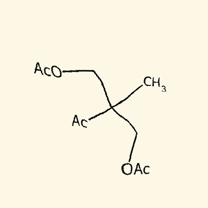 CC(=O)OCC(C)(COC(C)=O)C(C)=O